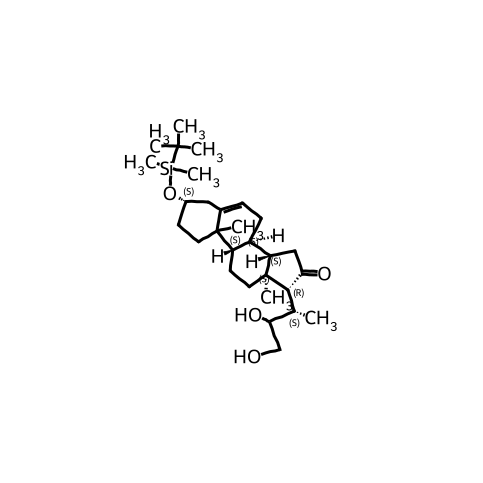 C[C@H](C(O)CO)[C@H]1C(=O)C[C@H]2[C@@H]3CC=C4C[C@@H](O[Si](C)(C)C(C)(C)C)CCC4(C)[C@H]3CC[C@]12C